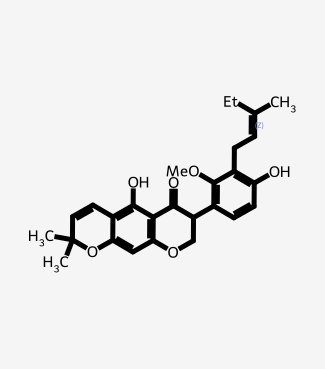 CC/C(C)=C\Cc1c(O)ccc(C2COc3cc4c(c(O)c3C2=O)C=CC(C)(C)O4)c1OC